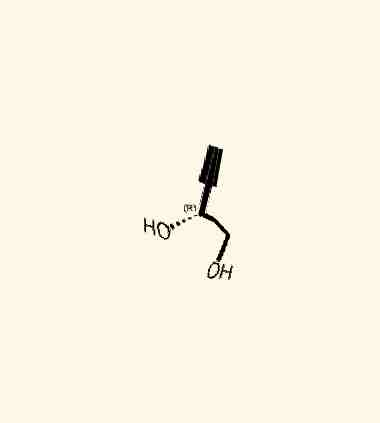 C#C[C@@H](O)CO